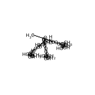 CCCCCCCCCCCCNC(=O)C(CCCCNC(=O)COCCOCCOCCO[C@@H]1O[C@H](CO)[C@H](O)[C@H](O)[C@H]1NC(C)=O)NC(=O)C(CCCCNC(=O)COCCOCCOCCO[C@@H]1O[C@H](CO)[C@H](O)[C@H](O)[C@H]1NC(C)=O)NC(=O)COCCOCCOCCO[C@@H]1O[C@H](CO)[C@H](O)[C@H](O)[C@H]1N